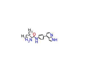 CC(C)[C@H](N)C(=O)Nc1ccc(-c2ccnc3[nH]ccc23)cc1